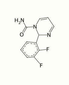 NC(=O)N1C=CC=NC1c1cccc(F)c1F